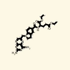 CCOC(=O)CCC(NC(=O)c1ccc2c(c1)CCN2Cc1cnc2nc(N)nc(N)c2n1)C(=O)OCC